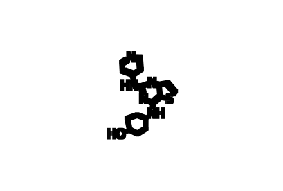 O[C@H]1CC[C@H](Nc2nc(Nc3ccncc3)nc3ccsc23)CC1